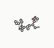 N#Cc1cccc(-c2cc(-c3ccc4c(c3)Oc3ccccc3C43c4ccccc4-c4ccccc43)cc(-c3ccc4cc(-c5ccc6c(c5)-c5ccccc5C65c6ccccc6Oc6cc(-c7ccc8ccccc8c7-c7ccc8ccc9cccnc9c8n7)ccc65)c5cccnc5c4n3)c2)c1